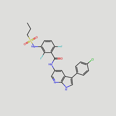 CCCS(=O)(=O)Nc1ccc(F)c(C(=O)Nc2cnc3[nH]cc(-c4ccc(Cl)cc4)c3c2)c1F